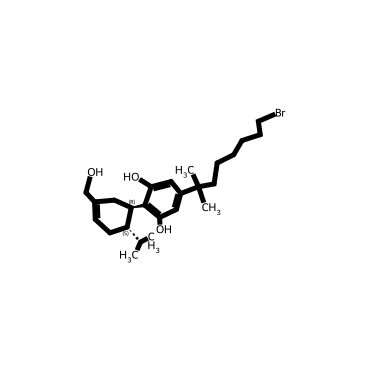 CC(C)[C@@H]1CC=C(CO)C[C@H]1c1c(O)cc(C(C)(C)CCCCCCBr)cc1O